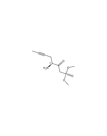 CC#CC[C@H](N)C(=O)CP(=O)(OC)OC